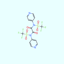 O=C(C(=O)N(c1ccncc1)S(=O)(=O)C(F)(F)F)N(c1ccncc1)S(=O)(=O)C(F)(F)F